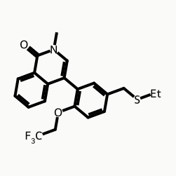 CCSCc1ccc(OCC(F)(F)F)c(-c2cn(C)c(=O)c3ccccc23)c1